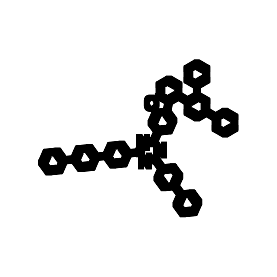 c1ccc(-c2ccc(-c3ccc(-c4nc(-c5ccc(-c6ccccc6)cc5)nc(-c5ccc6c(c5)oc5cccc(-c7ccc(-c8ccccc8)cc7-c7ccccc7)c56)n4)cc3)cc2)cc1